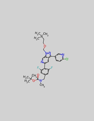 CN(Cc1cc(F)c(-c2cc3c(-c4ccc(Cl)nc4)nn(COCC[Si](C)(C)C)c3cn2)c(F)c1)C(=O)OC(C)(C)C